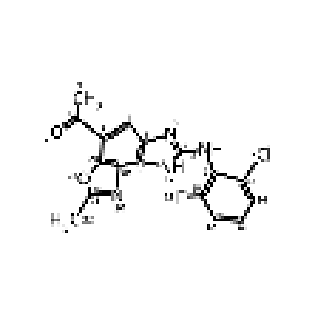 CC(=O)c1cc2nc(Nc3c(F)cccc3Cl)[nH]c2c2nc(C)oc12